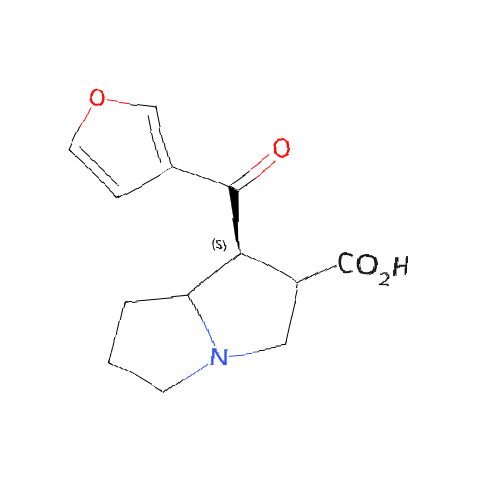 O=C(O)C1CN2CCCC2[C@H]1C(=O)c1ccoc1